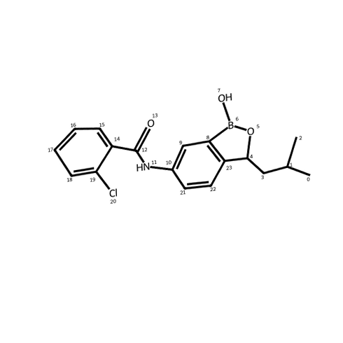 CC(C)CC1OB(O)c2cc(NC(=O)c3ccccc3Cl)ccc21